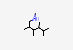 CNCC(C)C(C)C(C)C(C)C